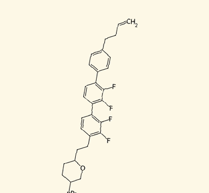 C=CCCc1ccc(-c2ccc(-c3ccc(CCC4CCC(CCC)CO4)c(F)c3F)c(F)c2F)cc1